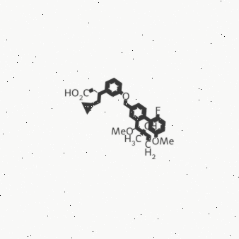 C=CC(C)(C)[C@H](OC)c1cc(COc2cccc([C@@H](CC(=O)O)CC3CC3)c2)ccc1-c1cc(OC)ccc1F